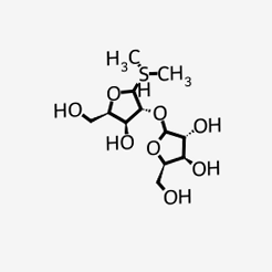 C[SH](C)C1O[C@H](CO)[C@H](O)[C@H]1OC1O[C@H](CO)[C@H](O)[C@H]1O